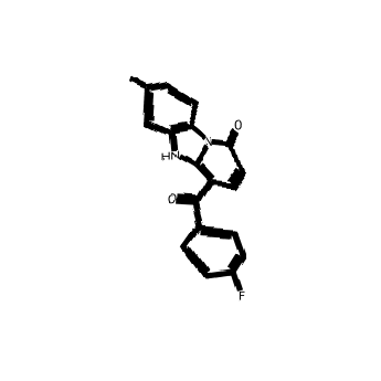 Cc1ccc2c(c1)[nH]c1c(C(=O)c3ccc(F)cc3)ccc(=O)n12